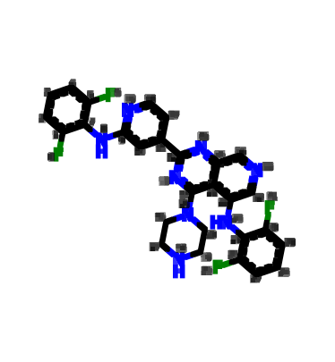 Fc1cccc(F)c1Nc1cc(-c2nc(N3CCNCC3)c3c(Nc4c(F)cccc4F)cncc3n2)ccn1